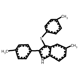 Cc1ccc(Sc2c(-c3ccc(C)cc3)[nH]c3ccc(C)cc23)cc1